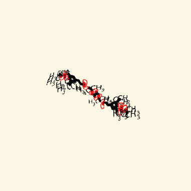 Cc1cc(CCC(=O)OCC(C)(C)C2OCC3(CO2)COC(C(C)(C)COC(=O)CCc2cc(C)c(OC(=O)OC(C)(C)C)c(C(C)(C)C)c2)OC3)cc(C(C)(C)C)c1OC(=O)OC(C)(C)C